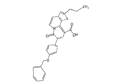 CCCc1cc2ccn3c(=O)c(-c4ccc(OCc5ccccc5)cc4)cc(C(=O)O)c3c2s1